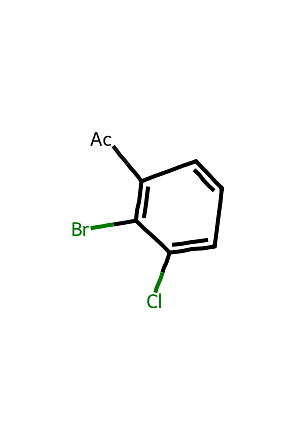 CC(=O)c1cccc(Cl)c1Br